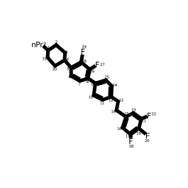 CCCC1CCC(c2ccc(-c3ccc(CCc4cc(F)c(F)c(F)c4)cc3)c(F)c2F)CC1